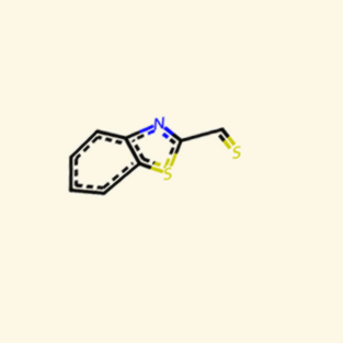 S=Cc1nc2ccccc2s1